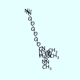 Cc1cnc(SC[Si](C)(C)O[Si](C)(C)CSc2ncc(COCCOCCOCCOCCOCCOCCN=[N+]=[N-])cn2)nc1